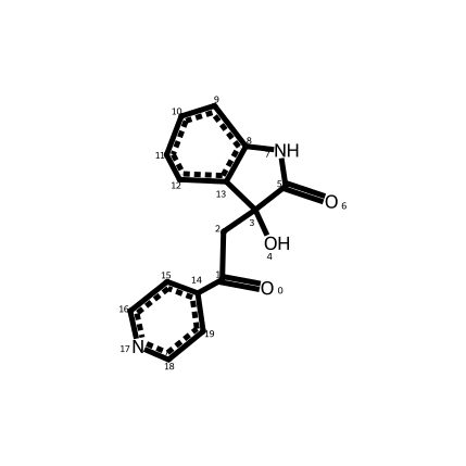 O=C(CC1(O)C(=O)Nc2ccccc21)c1ccncc1